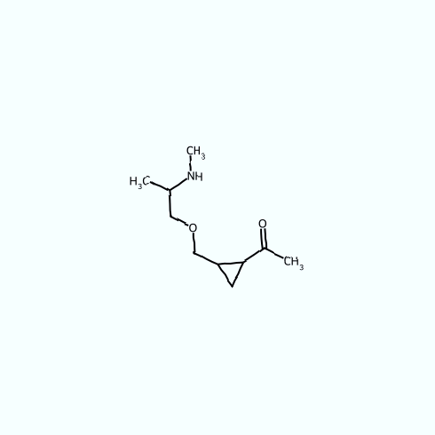 CNC(C)COCC1CC1C(C)=O